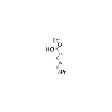 CCOC(O)CCCCC(C)C